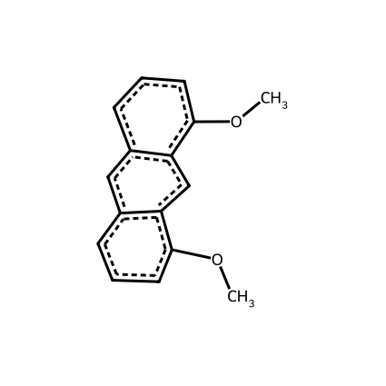 COc1cccc2cc3cccc(OC)c3cc12